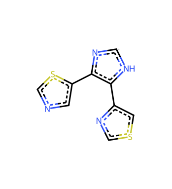 [c]1nc(-c2cncs2)c(-c2cscn2)[nH]1